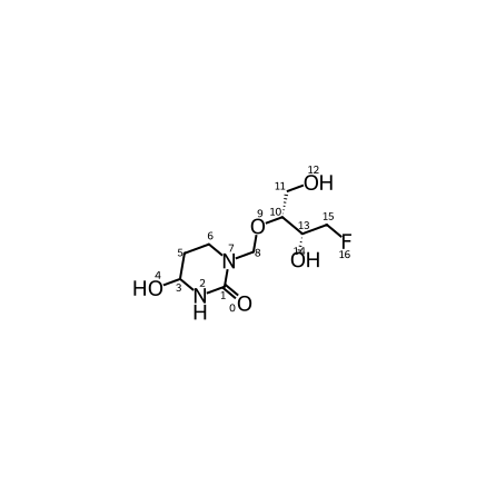 O=C1NC(O)CCN1CO[C@H](CO)[C@@H](O)CF